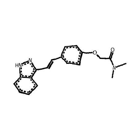 CN(C)C(=O)COc1ccc(/C=C/c2n[nH]c3ccccc23)cc1